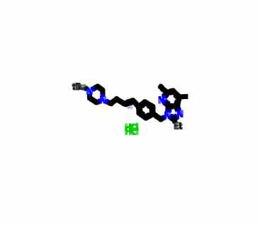 CCc1nc2c(C)cc(C)nc2n1Cc1ccc(/C=C/CCN2CCN(C(C)(C)C)CC2)cc1.Cl.Cl